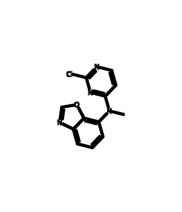 CN(c1ccnc(Cl)n1)c1cccc2ncoc12